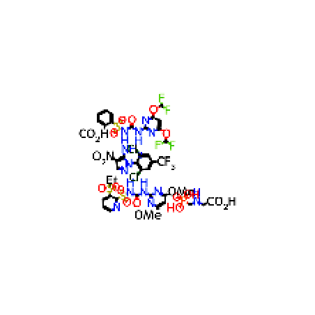 CCS(=O)(=O)c1cccnc1S(=O)(=O)NC(=O)Nc1nc(OC)cc(OC)n1.Nc1c([N+](=O)[O-])cnn1-c1c(Cl)cc(C(F)(F)F)cc1Cl.O=C(Nc1nc(OC(F)F)cc(OC(F)F)n1)NS(=O)(=O)c1ccccc1C(=O)O.O=C(O)CNCP(=O)(O)O